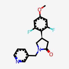 COc1cc(F)c([C@H]2CC(=O)N(Cc3cccnc3)C2)c(F)c1